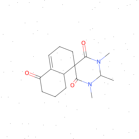 CC1N(C)C(=O)C2(CCC=C3C(=O)CCCC32)C(=O)N1C